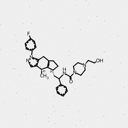 C[C@@H]1C2=C(CC[C@@H]2CC(NC(=O)N2CCN(CCO)CC2)c2ccccc2)Cc2c1cnn2-c1ccc(F)cc1